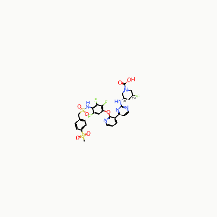 CS(=O)(=O)c1ccc(CS(=O)(=O)Nc2c(F)cc(Oc3ncccc3-c3ccnc(N[C@H]4C[C@H](F)CN(C(=O)O)C4)n3)c(F)c2F)cc1